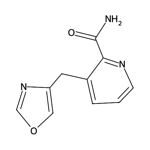 NC(=O)c1ncccc1Cc1cocn1